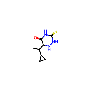 CC(C1CC1)C1NNC(=S)NC1=O